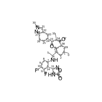 Cc1cc(C(C)Nc2ccc(F)c(F)c2-c2noc(=O)[nH]2)c2oc(-c3ccc4nn(C)cc4c3)c(C)c(=O)c2c1